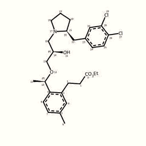 CCOC(=O)CCc1cc(C)ccc1[C@@H](C)OC[C@H](O)CN1CCC[C@H]1Cc1ccc(Cl)c(Cl)c1